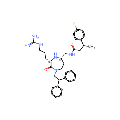 CC(CC(=O)NC[C@@H]1CCN(CC(c2ccccc2)c2ccccc2)C(=O)[C@H](CCCNC(=N)N)N1)c1ccc(F)cc1